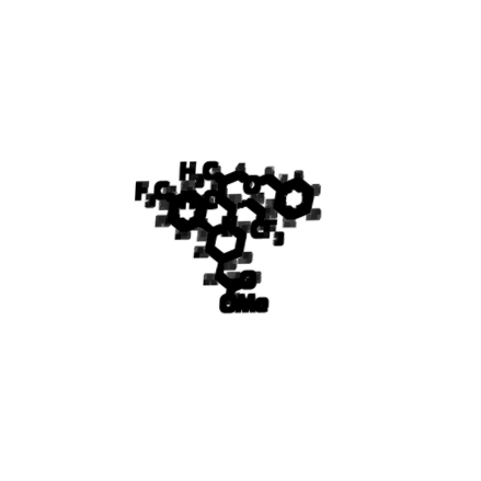 C=C(C(C)COCc1ccccc1)[C@H](CCC(F)(F)F)N1CC[C@@H](CC(=O)OC)C[C@H]1c1ccc(C(F)(F)F)cc1